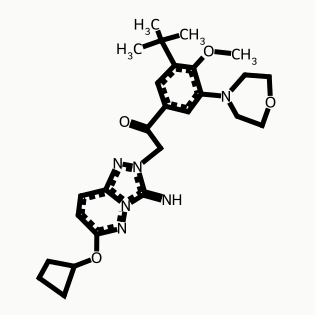 COc1c(N2CCOCC2)cc(C(=O)Cn2nc3ccc(OC4CCC4)nn3c2=N)cc1C(C)(C)C